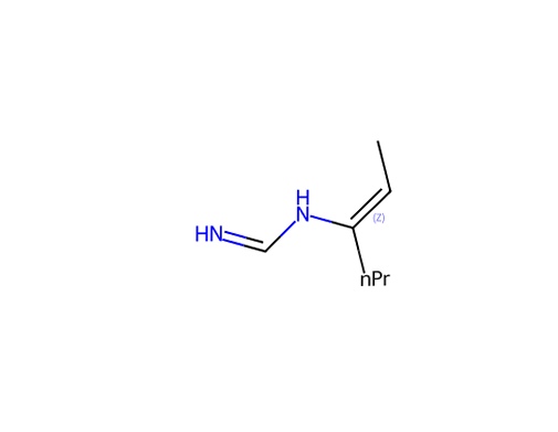 C/C=C(/CCC)NC=N